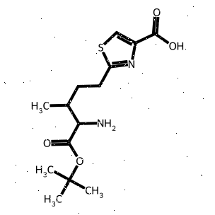 CC(CCc1nc(C(=O)O)cs1)C(N)C(=O)OC(C)(C)C